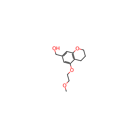 COCCOc1cc(CO)cc2c1CCCO2